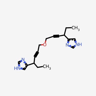 CCC(C#CCOCC#CC(CC)c1c[nH]cn1)c1c[nH]cn1